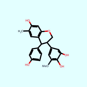 COc1cc(C2COc3cc(O)c(C)cc3C2c2ccc(O)cc2)cc(O)c1O